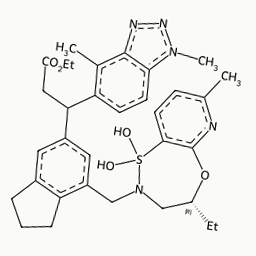 CCOC(=O)CC(c1cc2c(c(CN3C[C@@H](CC)Oc4nc(C)ccc4S3(O)O)c1)CCC2)c1ccc2c(nnn2C)c1C